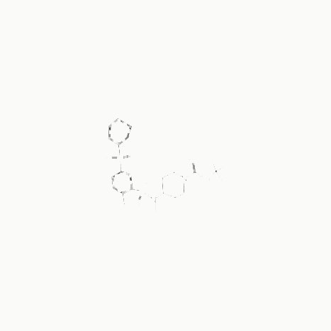 CC(C)(C)OC(=O)N1CCC(NS(=O)(=O)c2cc(S(=O)(=O)c3ccccc3)ccc2Cl)CC1